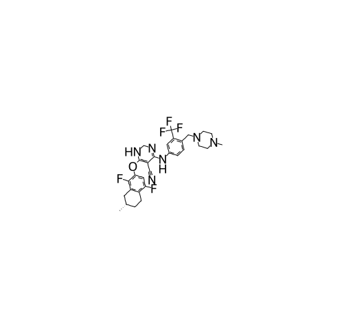 C[C@H]1CCc2c(F)cc(OC3=C(C#N)C(Nc4ccc(CN5CCN(C)CC5)c(C(F)(F)F)c4)=NCN3)c(F)c2C1